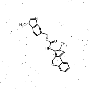 Cn1nc2c(c1NC(=O)OCc1ccc3c(c1)ncn3C)COc1ccccc1-2